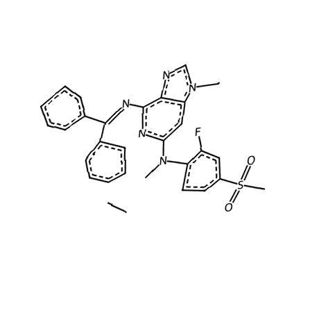 CC.CN(c1cc2c(ncn2C)c(N=C(c2ccccc2)c2ccccc2)n1)c1ccc(S(C)(=O)=O)cc1F